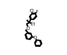 CCC(C)(COCc1cccc(Oc2ccccc2)c1)c1ccc(F)c(Cl)c1